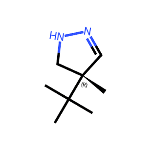 CC(C)(C)[C@@]1(C)C=NNC1